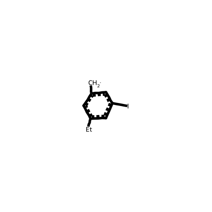 [CH2]c1cc(I)cc(CC)c1